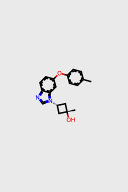 Cc1ccc(Oc2ccc3ncn([C@H]4C[C@@](C)(O)C4)c3c2)cc1